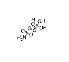 NS(=O)(=O)O.O=P(O)(O)O